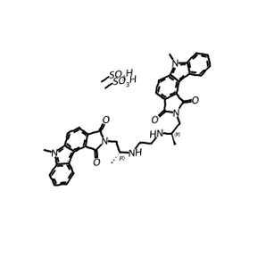 CS(=O)(=O)O.CS(=O)(=O)O.C[C@H](CN1C(=O)c2ccc3c(c2C1=O)c1ccccc1n3C)NCCN[C@H](C)CN1C(=O)c2ccc3c(c2C1=O)c1ccccc1n3C